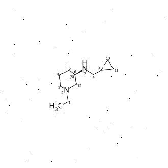 CCN1CCC[C@@H](NCC2CC2)C1